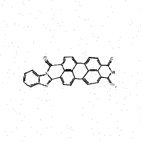 C=c1[nH]c(=O)c2ccc3c4ccc5c(=O)n6c7ccccc7nc6c6ccc(c7ccc1c2c37)c4c56